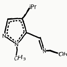 CC(C)c1cnn(C)c1C=NO